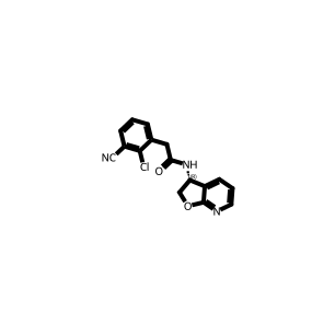 N#Cc1cccc(CC(=O)N[C@H]2COc3ncccc32)c1Cl